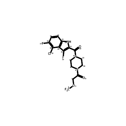 O=C(COC(F)(F)F)N1CCN(C(=O)c2[nH]c3ccc(F)c(Cl)c3c2F)CC1